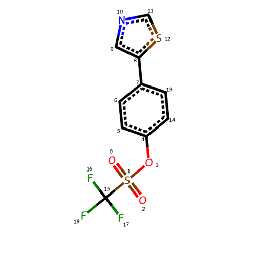 O=S(=O)(Oc1ccc(-c2cncs2)cc1)C(F)(F)F